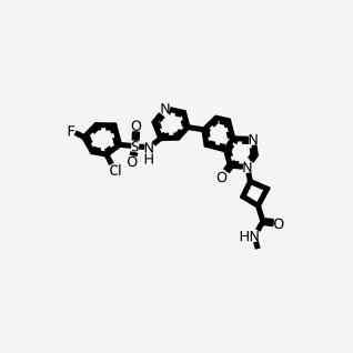 CNC(=O)C1CC(n2cnc3ccc(-c4cncc(NS(=O)(=O)c5ccc(F)cc5Cl)c4)cc3c2=O)C1